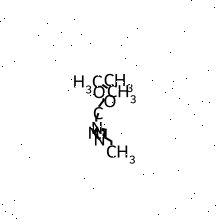 CCc1cn(CCCC(=O)OC(C)(C)C)nn1